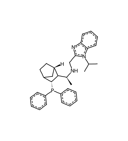 CC(C)n1c(CN[C@@H](C)C2[C@H]3CCC(C3)[C@H]2P(c2ccccc2)c2ccccc2)nc2ccccc21